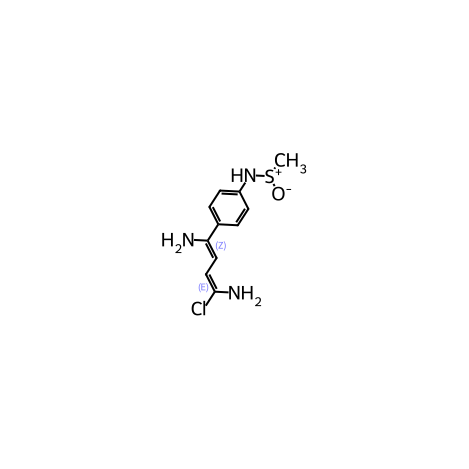 C[S+]([O-])Nc1ccc(/C(N)=C/C=C(\N)Cl)cc1